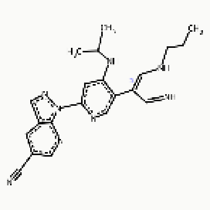 CCCN/C=C(\C=N)c1cnc(-n2ncc3cc(C#N)cnc32)cc1NC(C)C